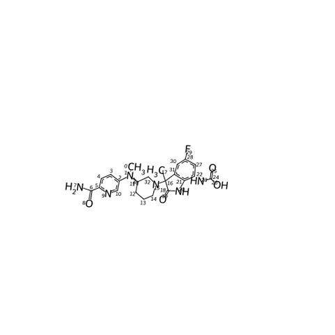 CN(c1ccc(C(N)=O)nc1)[C@@H]1CCCN(C2(C)C(=O)Nc3c(NC(=O)O)cc(F)cc32)C1